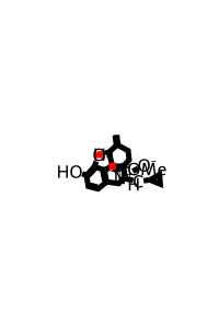 C=C1CC[C@@]2(OC)[C@H]3Cc4ccc(O)c5c4[C@@]2(CC[N+]3([O-])CC2CC2)[C@H]1O5